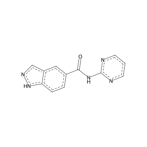 O=C(Nc1ncccn1)c1ccc2[nH]ncc2c1